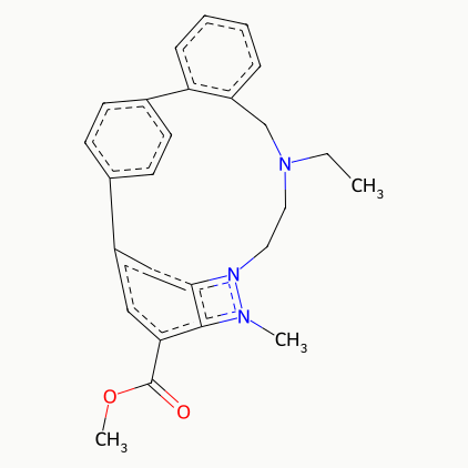 CCN1CCn2c3cc(cc(C(=O)OC)c3n2C)-c2ccc(cc2)-c2ccccc2C1